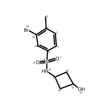 Cc1ccc(S(=O)(=O)NC2CC(O)C2)cc1Br